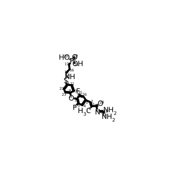 C/C(=C\c1cc(F)c(Oc2ccc(SNCCCP(=O)(O)O)cc2)c(F)c1)C(=O)N=C(N)N